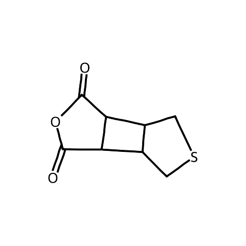 O=C1OC(=O)C2C3CSCC3C12